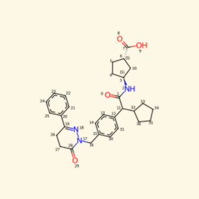 O=C(N[C@H]1CC[C@H](C(=O)O)C1)C(c1ccc(CN2N=C(c3ccccc3)CCC2=O)cc1)C1CCCC1